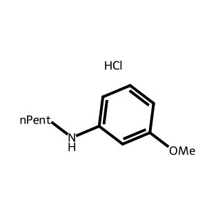 CCCCCNc1cccc(OC)c1.Cl